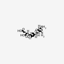 Nc1nc(N)c(NC(=O)Nc2cnc(C(=O)N[C@@H](CCC(=O)O)C(=O)O)c(Cl)c2)c(=O)[nH]1